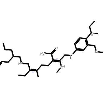 C/C=C\CC(CCC)CNC/C(CC)=C(/C)CC/C(C(N)=O)=C(/CNc1ccc([C@H](C)CC)c(COC)c1)NC